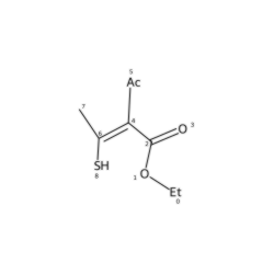 CCOC(=O)C(C(C)=O)=C(C)S